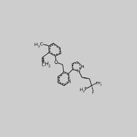 C=Cc1c(C)cccc1OCc1cccnc1-c1ccnn1CCC(F)(P)P